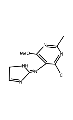 COc1nc(C)nc(Cl)c1N=C1N=CCN1